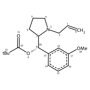 C=CCN1CCCC1[C@@H](OC(=O)C(C)(C)C)c1cccc(OC)c1